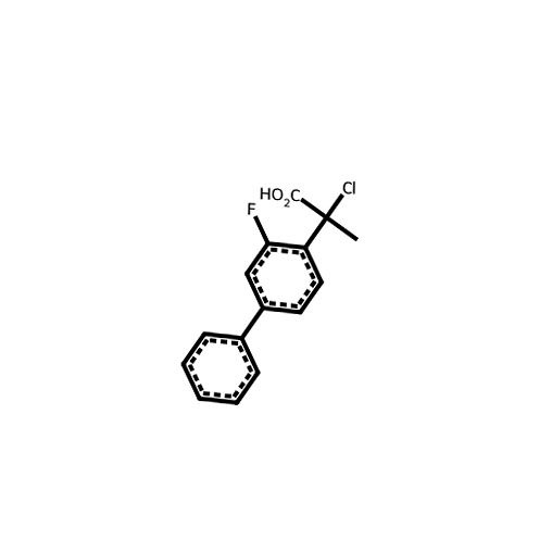 CC(Cl)(C(=O)O)c1ccc(-c2ccccc2)cc1F